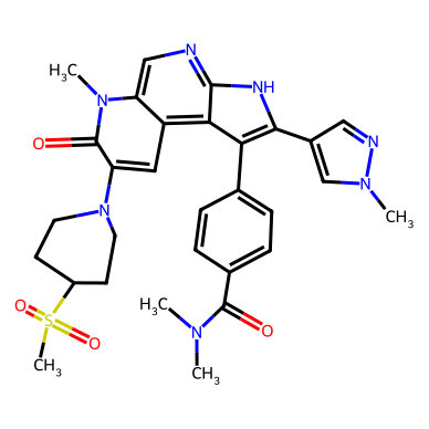 CN(C)C(=O)c1ccc(-c2c(-c3cnn(C)c3)[nH]c3ncc4c(cc(N5CCC(S(C)(=O)=O)CC5)c(=O)n4C)c23)cc1